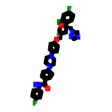 O=C(Nc1ccc(F)cc1)c1ccc(N2CCN(c3ccc(OC[C@@H]4CO[C@@](Cn5cncn5)(c5ccc(F)cc5F)C4)cc3)CC2)cc1